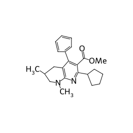 COC(=O)c1c(C2CCCC2)nc2c(c1-c1ccccc1)CC(C)CN2C